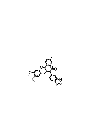 COc1ccc(CC(C(=O)c2ccc(C)cc2)=C(C(=O)O)c2ccc3nsnc3c2)cc1OC